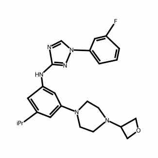 CC(C)c1cc(Nc2ncn(-c3cccc(F)c3)n2)cc(N2CCN(C3COC3)CC2)c1